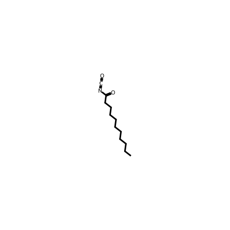 CCCCCCCCCCC(=O)N=C=O